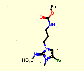 Cn1c(Br)cn(CCCNC(=O)OC(C)(C)C)/c1=N/C(=O)O